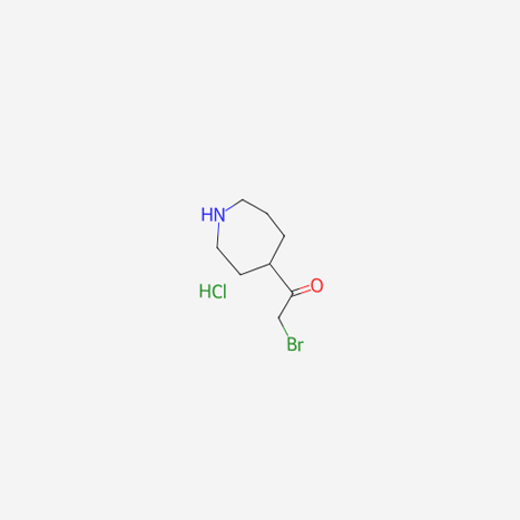 Cl.O=C(CBr)C1CCCNCC1